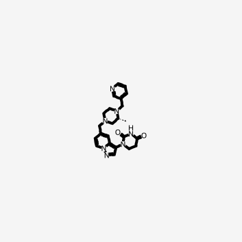 C[C@@H]1CN(Cc2ccn3ncc(N4CCC(=O)NC4=O)c3c2)CCN1Cc1cccnc1